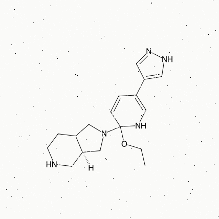 CCOC1(N2CC3CCNC[C@@H]3C2)C=CC(c2cn[nH]c2)=CN1